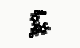 COc1ccc(CN2Cc3c(ccc(C)c3C)N3CC(=O)N=C23)cc1